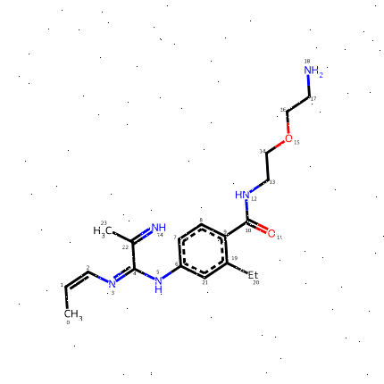 C/C=C\N=C(\Nc1ccc(C(=O)NCCOCCN)c(CC)c1)C(C)=N